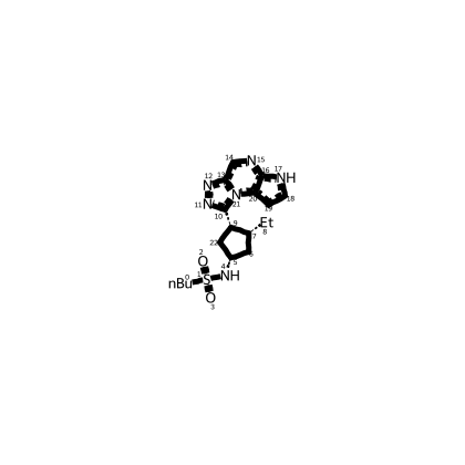 CCCCS(=O)(=O)N[C@H]1C[C@@H](CC)[C@@H](c2nnc3cnc4[nH]ccc4n23)C1